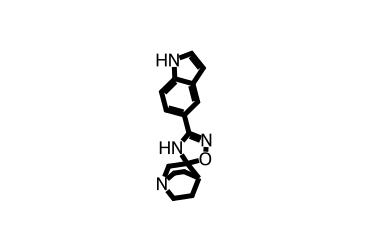 c1cc2cc(C3=NOC4(CN5CCC4CC5)N3)ccc2[nH]1